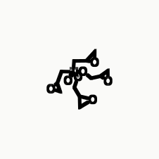 [O]=[Ti]([CH2]C1CO1)([CH2]C1CO1)([O]CC1CO1)[O]CC1CO1